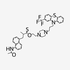 CC(=O)Nc1cccc2c(CC(C)C(=S)OCCN3CCN(CCCN4c5ccccc5Sc5ccc(C(F)(F)F)cc54)CC3)cccc12